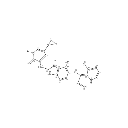 Cn1cc(C2CC2)cc(Nc2nc3ncc(O/C(C=N)=C4/NC=CN=C4Cl)c(Cl)c3n2C)c1=O